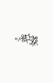 COP(=O)(OC)Oc1ccc(C(C)(C)C)cc1